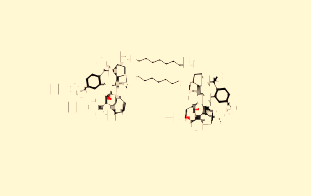 BrCCCCCCCBr.COc1ccc2c(c1)N(C(=O)OC(C)(C)C)[C@@H](OC1CCCCO1)[C@@H]1C(OCCCCCCCOC3CCN4C(=O)c5ccc(OC)cc5N(C(=O)OC(C)(C)C)[C@@H](OC5CCCCO5)[C@H]34)CCN1C2=O